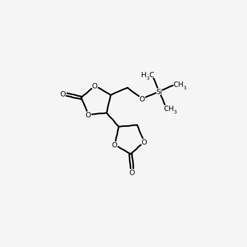 C[Si](C)(C)OCC1OC(=O)OC1C1COC(=O)O1